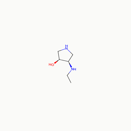 CCN[C@@H]1CNC[C@@H]1O